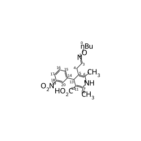 CCCCON=CCC1=C(C)NC(C)=C(C(=O)O)C1c1cccc([N+](=O)[O-])c1